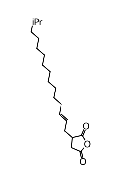 CC(C)CCCCCCCCCCC=CCC1CC(=O)OC1=O